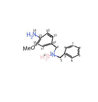 BN(Cc1ccccc1)Cc1ccc(N)c(OC)c1